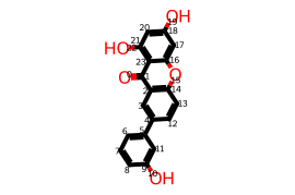 O=c1c2cc(-c3cccc(O)c3)ccc2oc2cc(O)cc(O)c12